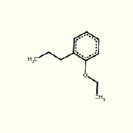 CC[CH]c1ccccc1OCC